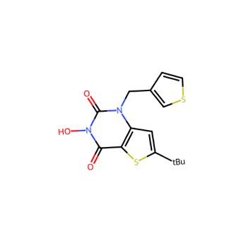 CC(C)(C)c1cc2c(s1)c(=O)n(O)c(=O)n2Cc1ccsc1